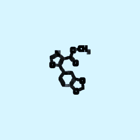 COC(=O)c1ncoc1-c1ccc2c(c1)OCO2